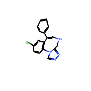 Clc1ccc2c(c1)C(c1ccccc1)=CNCc1nncn1-2